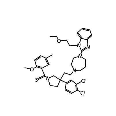 CCOCCn1c(N2CCCN(CCC3(c4ccc(Cl)c(Cl)c4)CCN(C(=S)c4cc(C)ccc4OC)C3)CC2)nc2ccccc21